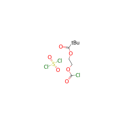 CC(C)(C)C(=O)OCCOC(=O)Cl.O=S(=O)(Cl)Cl